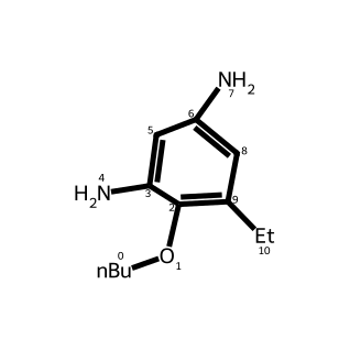 CCCCOc1c(N)cc(N)cc1CC